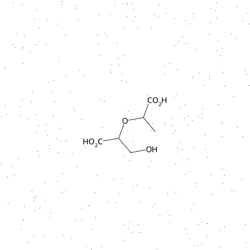 CC(OC(CO)C(=O)O)C(=O)O